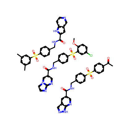 CC(=O)c1ccc(S(=O)(=O)c2ccc(CNC(=O)c3cnc4[nH]ncc4c3)cc2)cc1.COc1ccc(Cl)cc1S(=O)(=O)c1ccc(CNC(=O)c2cnc3nccn3c2)cc1.Cc1cc(C)cc(S(=O)(=O)c2ccc(CNC(=O)c3cc4cnccc4[nH]3)cc2)c1